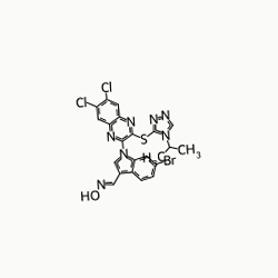 CC(C)n1cnnc1Sc1nc2cc(Cl)c(Cl)cc2nc1-n1cc(C=NO)c2ccc(Br)cc21